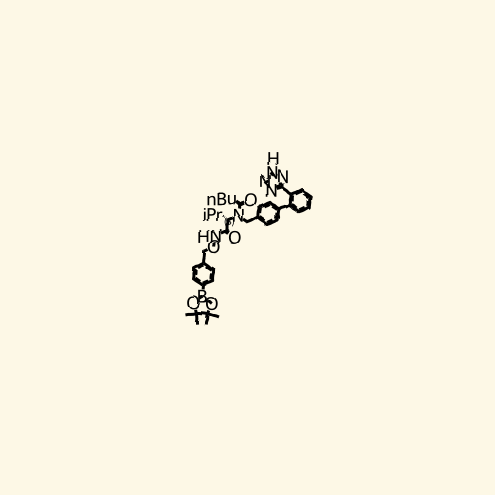 CCCCC(=O)N(Cc1ccc(-c2ccccc2-c2nn[nH]n2)cc1)[C@H](C(=O)NOCc1ccc(B2OC(C)(C)C(C)(C)O2)cc1)C(C)C